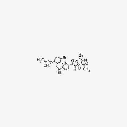 C=C(C)COc1ccc(Br)cc1CN(CC)c1ccc(C(=O)NS(=O)(=O)c2c(C)noc2C)nn1